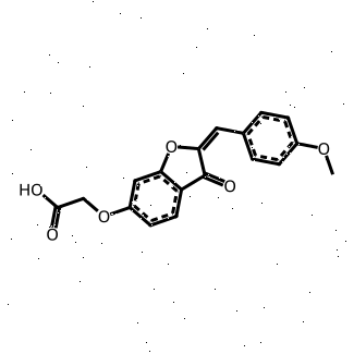 COc1ccc(C=C2Oc3cc(OCC(=O)O)ccc3C2=O)cc1